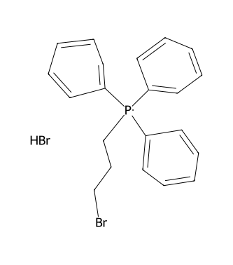 Br.BrCCC[P](c1ccccc1)(c1ccccc1)c1ccccc1